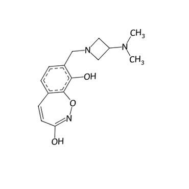 CN(C)C1CN(Cc2ccc3c(c2O)ON=C(O)C=C3)C1